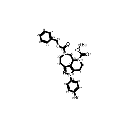 CC(C)(C)OC(=O)N1CCc2c3c(nn2-c2ccc(Br)cc2)CCN(C(=O)OCc2ccccc2)CC31